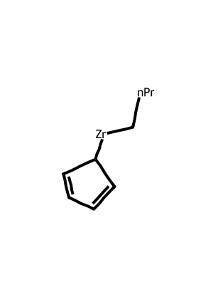 CCC[CH2][Zr][CH]1C=CC=C1